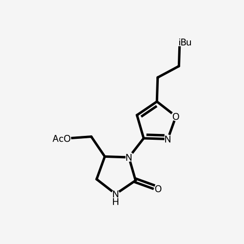 CCC(C)CCc1cc(N2C(=O)NCC2COC(C)=O)no1